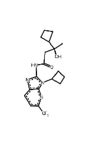 CC(O)(CC(=O)Nc1nc2ccc(C(F)(F)F)nc2n1C1CCC1)C1CCC1